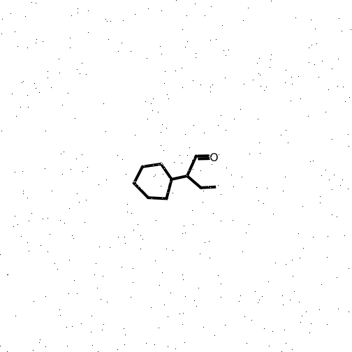 CCC(C=O)C1CCCCC1